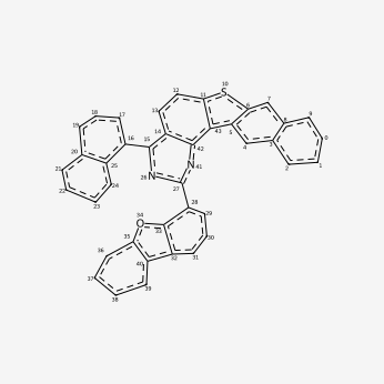 c1ccc2cc3c(cc2c1)sc1ccc2c(-c4cccc5ccccc45)nc(-c4cccc5c4oc4ccccc45)nc2c13